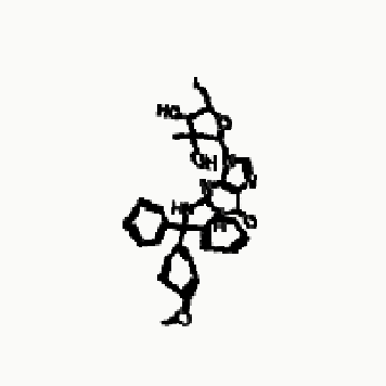 COc1ccc(C(Nc2nc3c(ncn3[C@@H]3OC(CI)[C@@H](O)[C@@]3(C)O)c(=O)[nH]2)(c2ccccc2)c2ccccc2)cc1